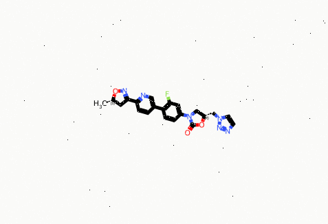 C[C@H]1CC(c2ccc(-c3ccc(N4C[C@H](Cn5ccnn5)OC4=O)cc3F)cn2)=NO1